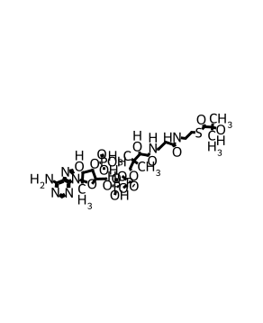 CC(C)(O)C(=O)SCCNC(=O)CCNC(=O)C(O)C(C)(C)COP(=O)(O)OP(=O)(O)OCC1OC(C)(n2cnc3c(N)ncnc32)C(O)C1OP(=O)(O)O